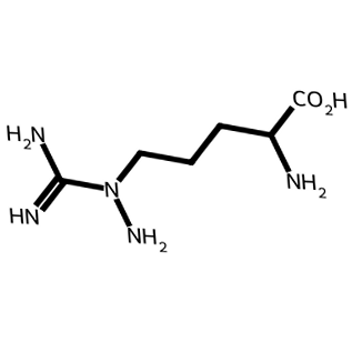 N=C(N)N(N)CCCC(N)C(=O)O